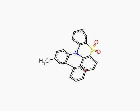 Cc1ccc(N2c3ccccc3S(=O)(=O)c3ccccc32)c(-c2ccccc2)c1